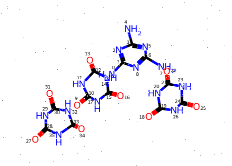 Nc1nc(N)nc(N)n1.O=c1[nH]c(=O)[nH]c(=O)[nH]1.O=c1[nH]c(=O)[nH]c(=O)[nH]1.O=c1[nH]c(=O)[nH]c(=O)[nH]1